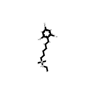 CCO[Si](C)(C)CCCCCCc1c(F)cc(F)cc1F